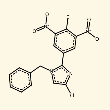 O=[N+]([O-])c1cc(-c2nc(Cl)cn2Cc2ccccc2)cc([N+](=O)[O-])c1Cl